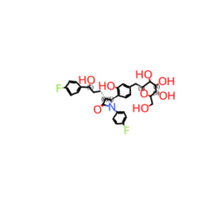 O=C1[C@H](CC[C@H](O)c2ccc(F)cc2)[C@@H](c2ccc(C[C@@H]3OC(CO)[C@@H](O)[C@H](O)C3O)cc2O)N1c1ccc(F)cc1